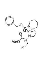 COC(=O)[C@H](CC(C)C)N1CC[C@]2(CCCCN2C(=O)OCc2ccccc2)C1=O